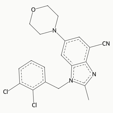 Cc1nc2c(C#N)cc(N3CCOCC3)cc2n1Cc1cccc(Cl)c1Cl